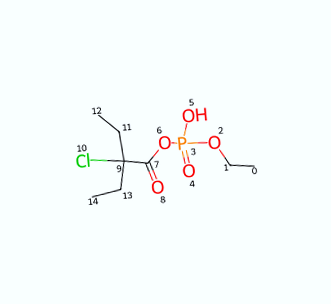 CCOP(=O)(O)OC(=O)C(Cl)(CC)CC